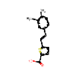 Cc1ccc(/C=C/c2ccc(C(=O)O)s2)cc1C